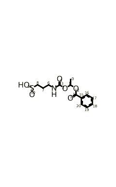 CC(OC(=O)NCCCS(=O)O)OC(=O)c1ccccc1